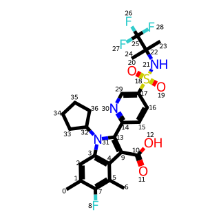 Cc1cc2c(c(C)c1F)c(C(=O)O)c(-c1ccc(S(=O)(=O)NC(C)(C)C(F)(F)F)cn1)n2C1CCCC1